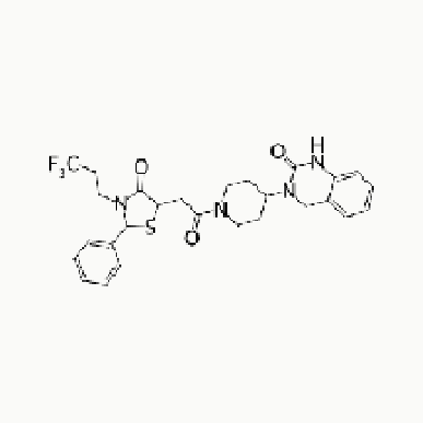 O=C(CC1SC(c2ccccc2)N(CCC(F)(F)F)C1=O)N1CCC(N2Cc3ccccc3NC2=O)CC1